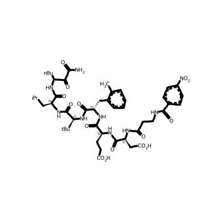 CCCCC(NC(=O)[C@H](CC(C)C)NC(=O)[C@@H](NC(=O)[C@H](Cc1ccccc1C)NC(=O)[C@H](CCC(=O)O)NC(=O)[C@H](CC(=O)O)NC(=O)CCNC(=O)c1ccc([N+](=O)[O-])cc1)C(C)(C)C)C(=O)C(N)=O